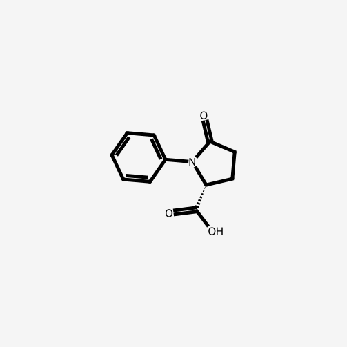 O=C(O)[C@H]1CCC(=O)N1c1ccccc1